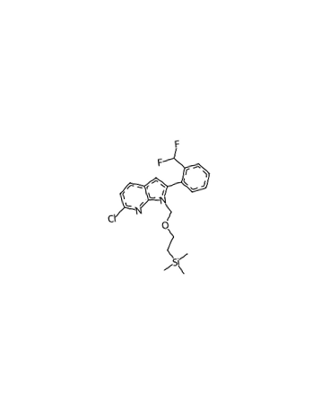 C[Si](C)(C)CCOCn1c(-c2ccccc2C(F)F)cc2ccc(Cl)nc21